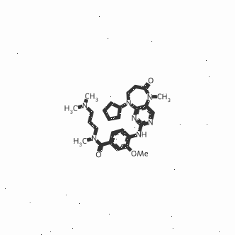 COc1cc(C(=O)N(C)CCCN(C)C)ccc1Nc1ncc2c(n1)N(C1CCCC1)CCC(=O)N2C